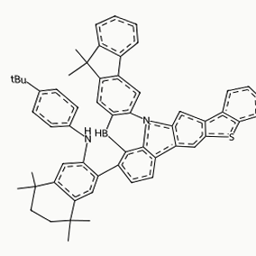 CC(C)(C)c1ccc(Nc2cc3c(cc2-c2ccc4c5cc6sc7ccccc7c6cc5n5c4c2Bc2cc4c(cc2-5)-c2ccccc2C4(C)C)C(C)(C)CCC3(C)C)cc1